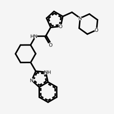 O=C(NC1CCCC(c2nc3ccccc3[nH]2)C1)c1ccc(CN2CCOCC2)o1